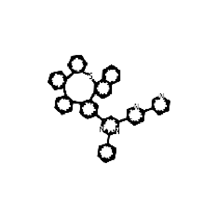 c1ccc(-c2nc(-c3ccc(-c4cccnc4)nc3)cc(-c3ccc4c(c3)-c3ccc5ccccc5c3Sc3ccccc3-c3ccccc3-c3ccccc3-4)n2)cc1